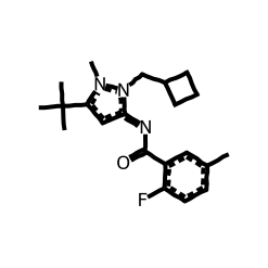 Cc1ccc(F)c(C(=O)/N=c2\cc(C(C)(C)C)n(C)n2CC2CCC2)c1